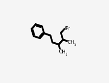 C[C](CCc1ccccc1)C(C)CC(C)C